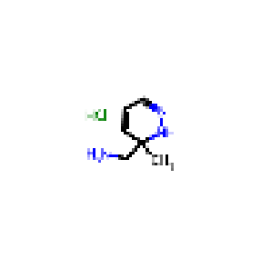 CC1(CN)C=CC=NN1.Cl